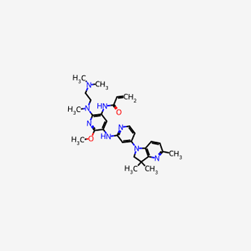 C=CC(=O)Nc1cc(Nc2cc(N3CC(C)(C)c4nc(C)ccc43)ccn2)c(OC)nc1N(C)CCN(C)C